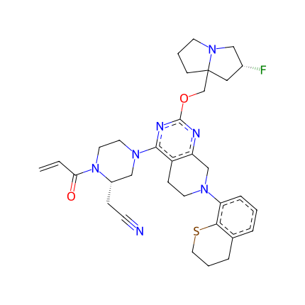 C=CC(=O)N1CCN(c2nc(OCC34CCCN3C[C@H](F)C4)nc3c2CCN(c2cccc4c2SCCC4)C3)C[C@@H]1CC#N